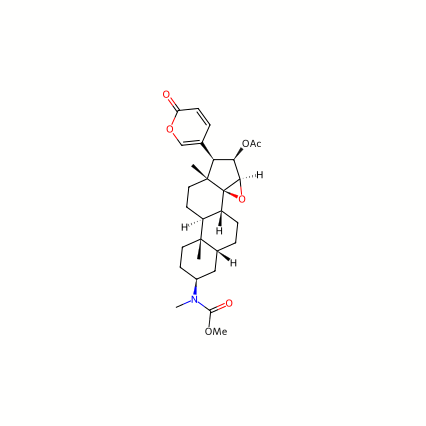 COC(=O)N(C)[C@H]1CC[C@@]2(C)[C@H](CC[C@@H]3[C@@H]2CC[C@]2(C)[C@@H](c4ccc(=O)oc4)[C@@H](OC(C)=O)[C@H]4O[C@]342)C1